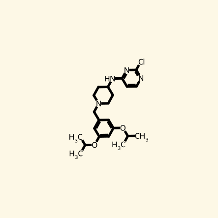 CC(C)Oc1cc(CN2CCC(Nc3ccnc(Cl)n3)CC2)cc(OC(C)C)c1